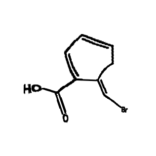 O=C(O)C1=CC=CCC1=CBr